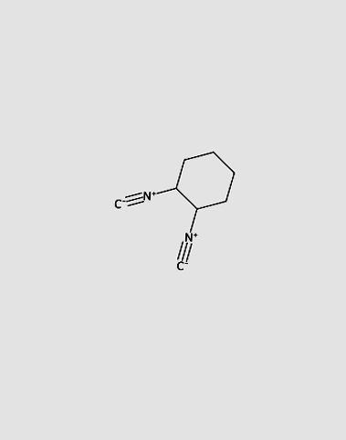 [C-]#[N+]C1CCCCC1[N+]#[C-]